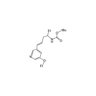 CCOc1cncc(C=CCC(CC)NC(=O)OC(C)(C)C)c1